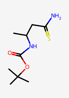 CC(CC(N)=S)NC(=O)OC(C)(C)C